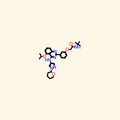 CC(C)Oc1cccc2nc(-c3cccc(OCC(=O)NC(C)(C)C)c3)nc(Nc3cnn(C4CCCCO4)c3)c12